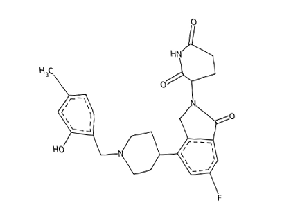 Cc1ccc(CN2CCC(c3cc(F)cc4c3CN(C3CCC(=O)NC3=O)C4=O)CC2)c(O)c1